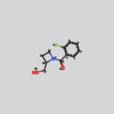 O=C(c1ccccc1F)N1CCC1CO